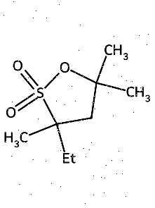 CCC1(C)CC(C)(C)OS1(=O)=O